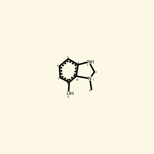 CN1CNc2cccc(O)c21